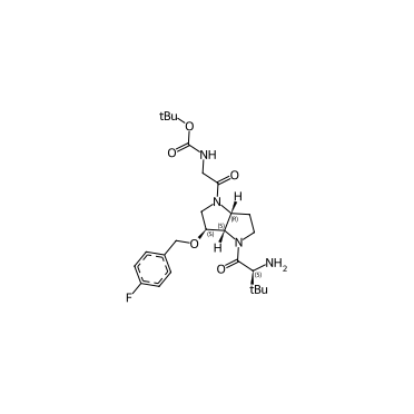 CC(C)(C)OC(=O)NCC(=O)N1C[C@H](OCc2ccc(F)cc2)[C@@H]2[C@H]1CCN2C(=O)[C@@H](N)C(C)(C)C